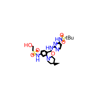 CC(C)(C)S(=O)(=O)Nc1ccnc(NC(=O)c2ccc(NS(=O)(=O)CCO)cc2N2CCC3(CC2)CC3)n1